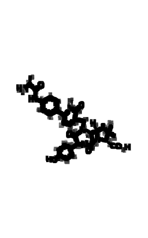 C[C@H](N)C(=O)Nc1ccc(-c2ccc(CN(C(=O)C(N)c3ccc(O)cc3)[C@@H]3C(=O)N4[C@@H]3SC(C)(C)[C@@H]4C(=O)O)c(=O)[nH]2)cc1